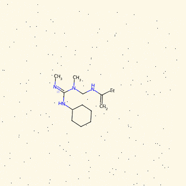 C=C(CC)NCN(C)/C(=N\C)NC1CCCCC1